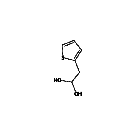 OC(O)Cc1cccs1